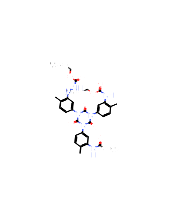 COCOC(=O)NNc1cc(-n2c(=O)n(-c3ccc(C)c(NC(=O)OC)c3)c(=O)n(-c3ccc(C)c(NC(=O)OCOC)c3)c2=O)ccc1C